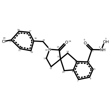 O=C(NO)c1cccc2c1CC1(CCN(Cc3ccc(Cl)cc3)C1=O)C2